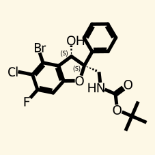 CC(C)(C)OC(=O)NC[C@]1(c2ccccc2)Oc2cc(F)c(Cl)c(Br)c2[C@@H]1O